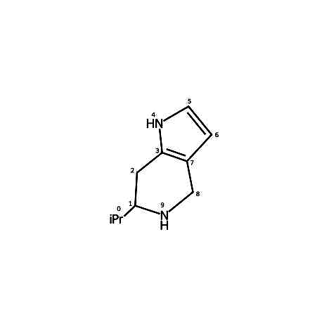 CC(C)C1Cc2[nH]ccc2CN1